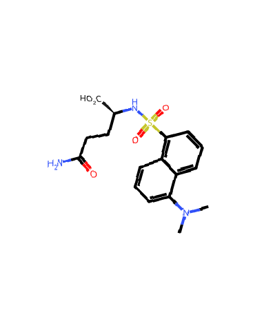 CN(C)c1cccc2c(S(=O)(=O)N[C@@H](CCC(N)=O)C(=O)O)cccc12